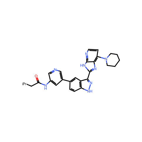 CC(C)CC(=O)Nc1cncc(-c2ccc3[nH]nc(-c4nc5c(N6CCCCC6)ccnc5[nH]4)c3c2)c1